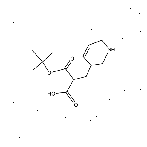 CC(C)(C)OC(=O)C(CC1C=CCNC1)C(=O)O